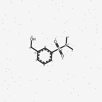 CN(C)S(=O)(=O)c1cccc(CO)c1